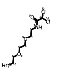 O=C(NCCOCCOCCO)C(Cl)Cl